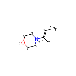 CC(=CC(C)C)N1CCOCC1